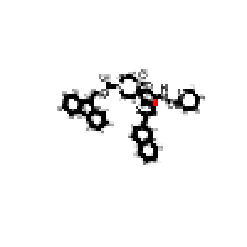 O=C(CC1(c2ccc(-c3ccc4ccccc4c3)s2)CCN(C(=O)OCC2c3ccccc3-c3ccccc32)CCS1(=O)=O)NOC1CCCCO1